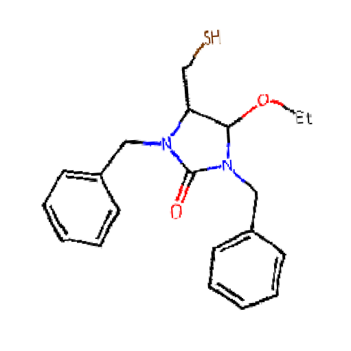 CCOC1C(CS)N(Cc2ccccc2)C(=O)N1Cc1ccccc1